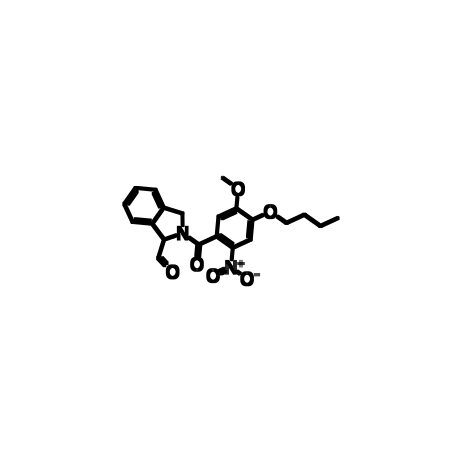 CCCCOc1cc([N+](=O)[O-])c(C(=O)N2Cc3ccccc3C2C=O)cc1OC